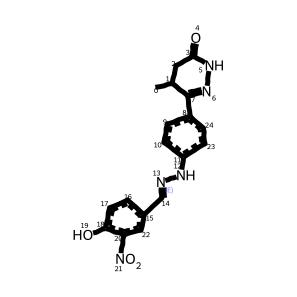 CC1CC(=O)NN=C1c1ccc(N/N=C/c2ccc(O)c([N+](=O)[O-])c2)cc1